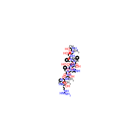 CC(C)[C@H](NC(=O)[C@@H](NC(=O)[C@H](Cc1ccc(O)cc1)NC(=O)[C@H](Cc1c[nH]cn1)NC(=O)[C@H](CO)N(C)C(=O)[C@H](CO)NC(=O)[C@H](Cc1ccccc1)N(C)C(=O)[C@H](Cc1ccccc1)N(C)C(=O)[C@H](CC(=O)O)NC(=O)CN(C)C(=O)[C@@H](N)[C@@H](C)O)[C@@H](C)O)C(=O)N1CCC[C@H]1C(=O)N[C@@H](CCCNC(=N)N)C(=O)O